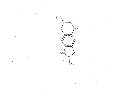 CC1CNc2cc3c(cc2C1)NC(C)C3